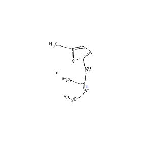 C/[S+]=C(\N)Nc1ncc(C)s1.[I-]